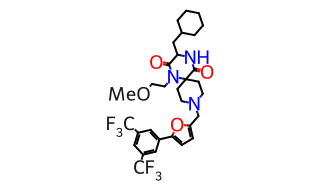 COCCN1C(=O)C(CC2CCCCC2)NC(=O)C12CCN(Cc1ccc(-c3cc(C(F)(F)F)cc(C(F)(F)F)c3)o1)CC2